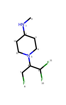 CNC1CCN(C(CF)C(F)F)CC1